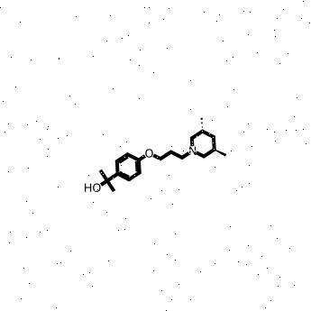 C[C@@H]1C[C@@H](C)CN(CCCOc2ccc(C(C)(C)O)cc2)C1